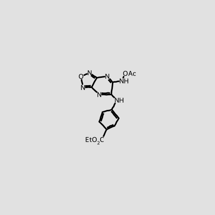 CCOC(=O)c1ccc(Nc2nc3nonc3nc2NOC(C)=O)cc1